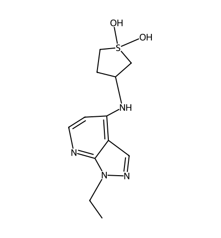 CCn1ncc2c(NC3CCS(O)(O)C3)ccnc21